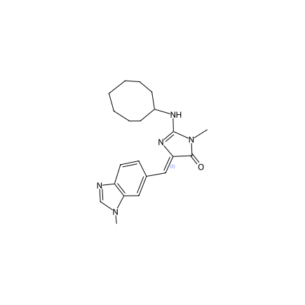 CN1C(=O)/C(=C/c2ccc3ncn(C)c3c2)N=C1NC1CCCCCCC1